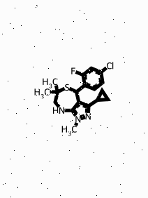 Cn1nc(C2CC2)c2c1NCC(C)(C)SC2c1ccc(Cl)cc1F